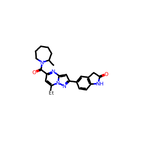 CCc1cc(C(=O)N2CCCCCC2C)nc2cc(-c3ccc4c(c3)CC(=O)N4)nn12